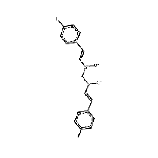 [O-][S+](/C=C/c1ccc(F)cc1)C[S+]([O-])/C=C/c1ccc(F)cc1